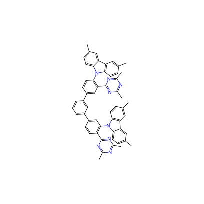 Cc1ccc2c(c1)c1cc(C)ccc1n2-c1ccc(-c2cccc(-c3ccc(-c4nc(C)nc(C)n4)c(-n4c5ccc(C)cc5c5cc(C)ccc54)c3)c2)cc1-c1nc(C)nc(C)n1